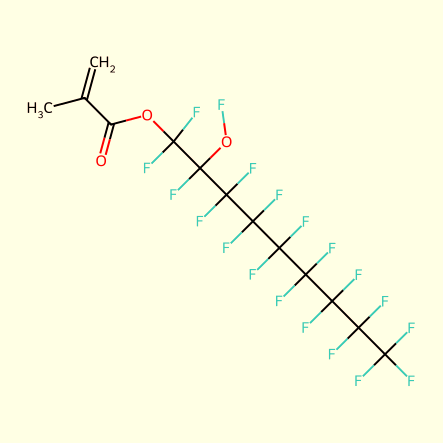 C=C(C)C(=O)OC(F)(F)C(F)(OF)C(F)(F)C(F)(F)C(F)(F)C(F)(F)C(F)(F)C(F)(F)C(F)(F)F